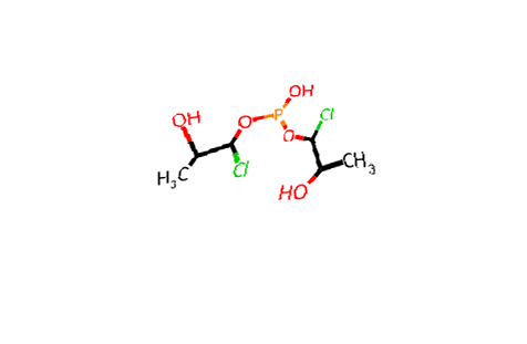 CC(O)C(Cl)OP(O)OC(Cl)C(C)O